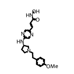 COc1ccc(CCN2CC[C@@H](Nc3cnc(/C=C/C(=O)NO)cn3)C2)cc1